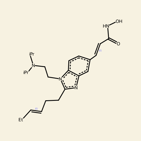 CC/C=C/CCc1nc2cc(/C=C/C(=O)NO)ccc2n1CCN(C(C)C)C(C)C